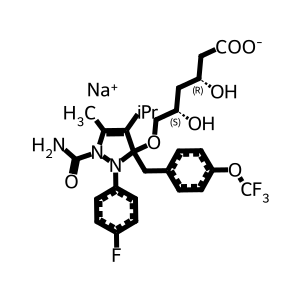 CC1=C(C(C)C)C(Cc2ccc(OC(F)(F)F)cc2)(OC[C@@H](O)C[C@@H](O)CC(=O)[O-])N(c2ccc(F)cc2)N1C(N)=O.[Na+]